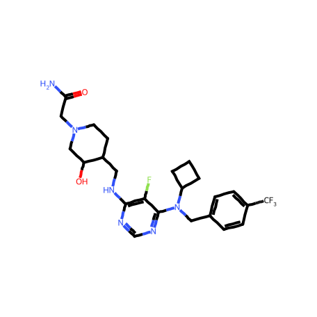 NC(=O)CN1CCC(CNc2ncnc(N(Cc3ccc(C(F)(F)F)cc3)C3CCC3)c2F)C(O)C1